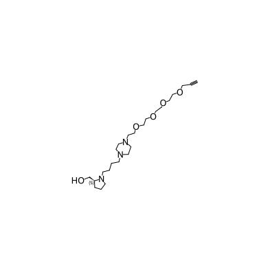 C#CCOCCOCCOCCOCCN1CCN(CCCCN2CCC[C@H]2CO)CC1